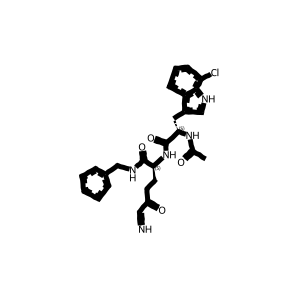 CC(=O)N[C@@H](Cc1c[nH]c2c(Cl)cccc12)C(=O)N[C@@H](CCC(=O)C=N)C(=O)NCc1ccccc1